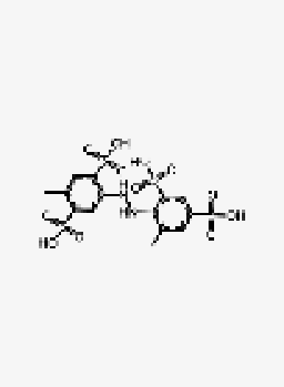 Cc1cc(S(=O)(=O)O)c(NNc2c(C)cc(S(=O)(=O)O)cc2S(=O)(=O)O)cc1S(=O)(=O)O